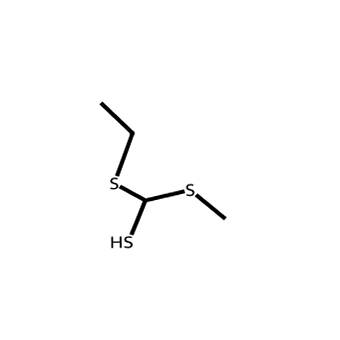 CCSC(S)SC